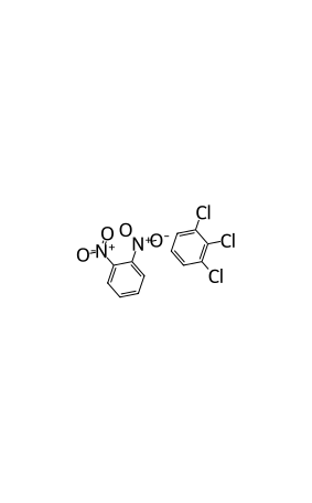 Clc1cccc(Cl)c1Cl.O=[N+]([O-])c1ccccc1[N+](=O)[O-]